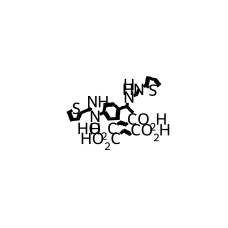 CC(NCNc1cccs1)c1ccc(NC(=N)c2cccs2)cc1.O=C(O)/C=C/C(=O)O.O=C(O)/C=C/C(=O)O